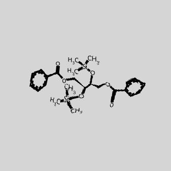 C[Si](C)(C)O[C@@H](COC(=O)c1ccccc1)[C@H](COC(=O)c1ccccc1)O[Si](C)(C)C